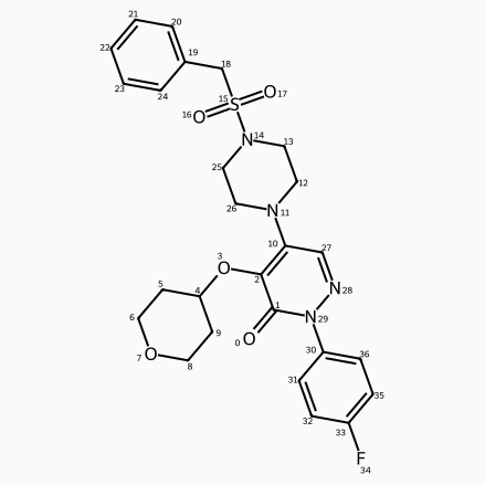 O=c1c(OC2CCOCC2)c(N2CCN(S(=O)(=O)Cc3ccccc3)CC2)cnn1-c1ccc(F)cc1